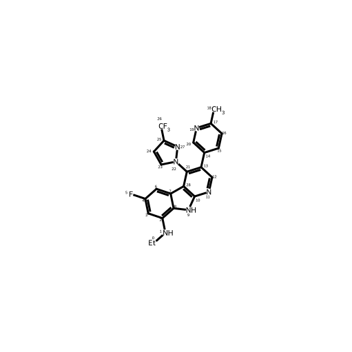 CCNc1cc(F)cc2c1[nH]c1ncc(-c3ccc(C)nc3)c(-n3ccc(C(F)(F)F)n3)c12